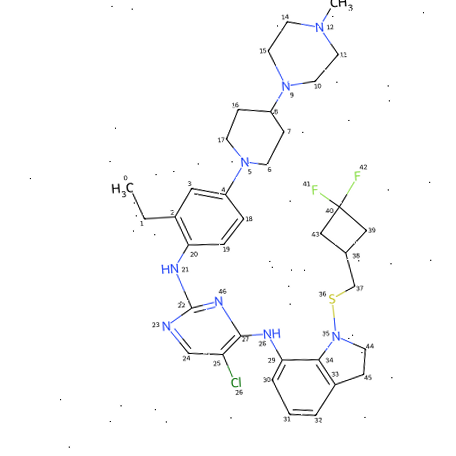 CCc1cc(N2CCC(N3CCN(C)CC3)CC2)ccc1Nc1ncc(Cl)c(Nc2cccc3c2N(SCC2CC(F)(F)C2)CC3)n1